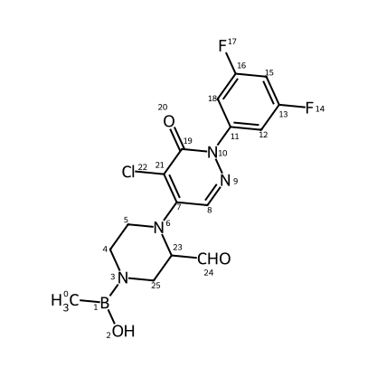 CB(O)N1CCN(c2cnn(-c3cc(F)cc(F)c3)c(=O)c2Cl)C(C=O)C1